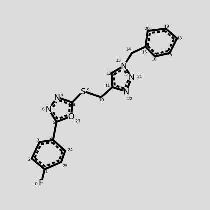 Fc1ccc(-c2nnc(SCc3cn(Cc4ccccc4)nn3)o2)cc1